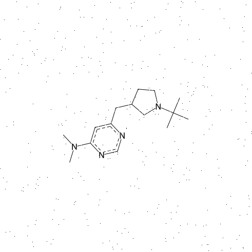 CN(C)c1cc(CC2CCN(C(C)(C)C)C2)ncn1